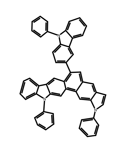 c1ccc(-n2ccc3cc4cc(-c5ccc6c(c5)c5ccccc5n6-c5ccccc5)c5cc6c7ccccc7n(-c7ccccc7)c6cc5c4cc32)cc1